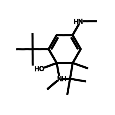 CNC1=CC(C)(C(C)(C)C)C(O)(NC)C(C(C)(C)C)=C1